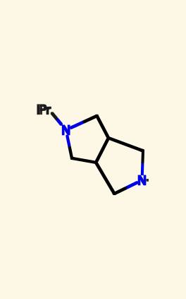 CC(C)N1CC2C[N]CC2C1